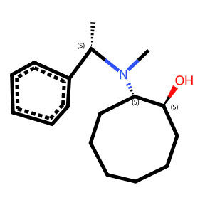 C[C@@H](c1ccccc1)N(C)[C@H]1CCCCCC[C@@H]1O